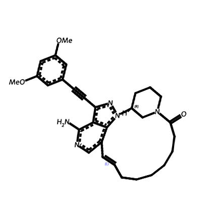 COc1cc(C#Cc2nn3c4c(cnc(N)c24)/C=C/CCCCCCC(=O)N2CCC[C@@H]3C2)cc(OC)c1